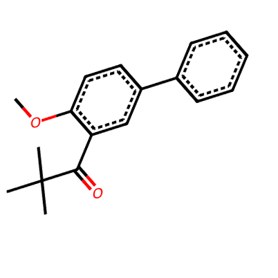 COc1ccc(-c2ccccc2)cc1C(=O)C(C)(C)C